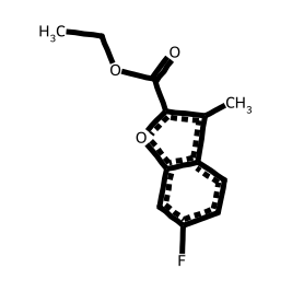 CCOC(=O)c1oc2cc(F)ccc2c1C